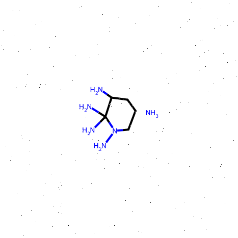 N.NC1CCCN(N)C1(N)N